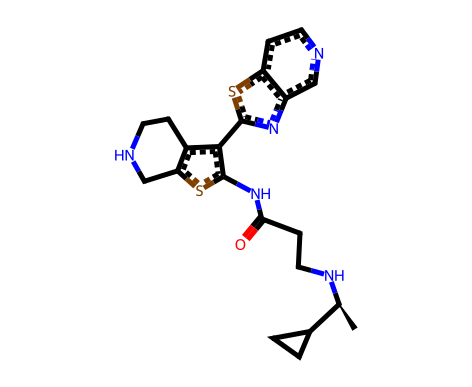 C[C@H](NCCC(=O)Nc1sc2c(c1-c1nc3cnccc3s1)CCNC2)C1CC1